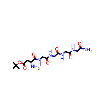 CC(C)(C)OC(=O)C[C@@H](N)C(=O)NCC(=O)NCC(=O)NCC(=O)NCC(N)=O